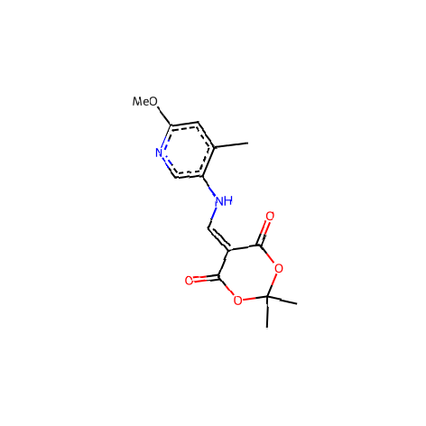 COc1cc(C)c(NC=C2C(=O)OC(C)(C)OC2=O)cn1